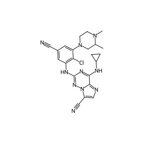 CC1CN(c2cc(C#N)cc(Nc3nc(NC4CC4)c4ncc(C#N)n4n3)c2Cl)CCN1C